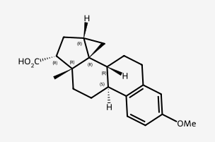 COc1ccc2c(c1)CC[C@@H]1[C@@H]2CC[C@]2(C)[C@H](C(=O)O)C[C@@H]3C[C@@]312